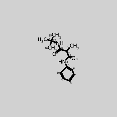 CC(C(=O)Nc1ccccc1)C(=O)NC(C)(C)C